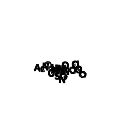 CC(=O)N1CCCC(NC(=O)c2sc3nccc4c3c2NC(=O)N4c2ccc(Oc3ccccc3)c(Cl)c2)C1